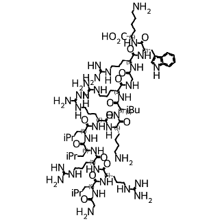 CC[C@H](C)[C@H](NC(=O)[C@H](CCCCN)NC(=O)[C@H](CCCNC(=N)N)NC(=O)[C@H](CC(C)C)NC(=O)[C@H](CC(C)C)NC(=O)[C@H](CCCNC(=N)N)NC(=O)[C@H](CCCNC(=N)N)NC(=O)[C@H](CC(C)C)NC(=O)CN)C(=O)N[C@@H](CCCNC(=N)N)C(=O)NCC(=O)N[C@@H](CCCNC(=N)N)C(=O)N[C@@H](Cc1c[nH]c2ccccc12)C(=O)N[C@@H](CCCCN)C(=O)O